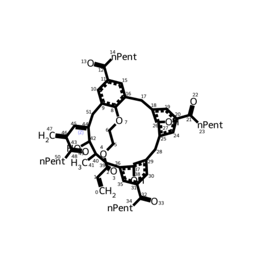 C=CC(=O)OCCOc1c2cc(C(=O)CCCCC)cc1Cc1cc(C(=O)CCCCC)cc(c1O)Cc1cc(C(=O)CCCCC)cc(c1O)CC(C)C(O)/C(=C\C(=C)C(=O)CCCCC)C2